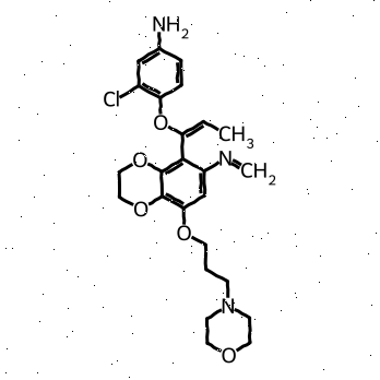 C=Nc1cc(OCCCN2CCOCC2)c2c(c1/C(=C\C)Oc1ccc(N)cc1Cl)OCCO2